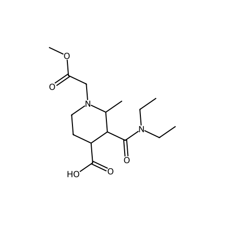 CCN(CC)C(=O)C1C(C(=O)O)CCN(CC(=O)OC)C1C